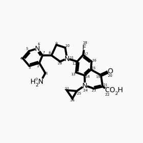 NCc1cccnc1C1CCN(c2cc3c(cc2F)c(=O)c(C(=O)O)cn3C2CC2)C1